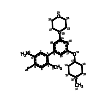 Cc1cc(F)c(N)cc1-c1cc(OC2CCN(C)CC2)nc(N2CCOCC2)c1